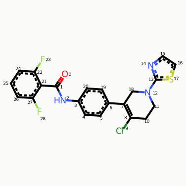 O=C(Nc1ccc(C2=C(Cl)CCN(c3nccs3)C2)cc1)c1c(F)cccc1F